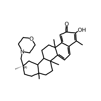 CC1=C(O)C(=O)C=C2C1=CC=C1C2(C)CCC2C3C[C@](C)(CN4CCOCC4)CCC3(C)CCC12C